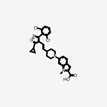 Cn1c(C(=O)O)cc2ccc(N3CCC(C=Cc4c(-c5c(Cl)cccc5Cl)noc4C4CC4)CC3)cc21